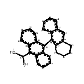 OB(O)c1c2ccccc2c(-c2c3c(cc4ccccc24)CCCC3)c2ccccc12